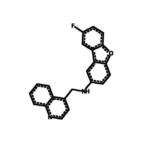 Fc1ccc2oc3ccc(NCc4ccnc5ccccc45)cc3c2c1